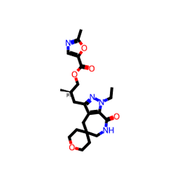 CCn1nc(C[C@@H](C)COC(=O)c2cnc(C)o2)c2c1C(=O)NCC1(CCOCC1)C2